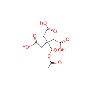 CC(=O)OC(=O)C(CC(=O)O)(CC(=O)O)CC(=O)O